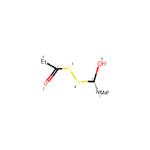 CCC(=O)SS[C@H](O)NC